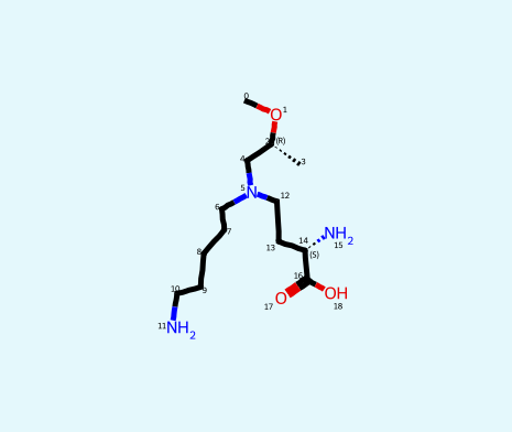 CO[C@H](C)CN(CCCCCN)CC[C@H](N)C(=O)O